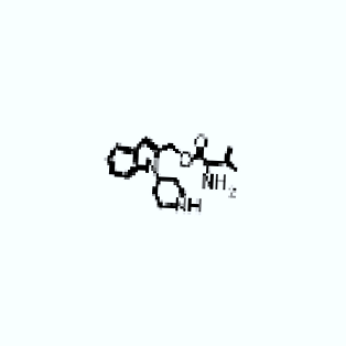 CC(C)C(N)C(=O)OCc1cc2ccccc2n1C1CCNCC1